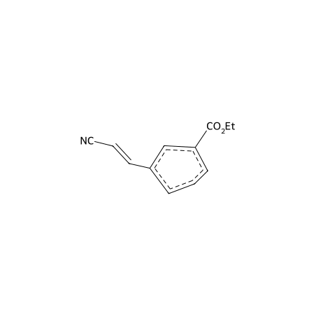 CCOC(=O)c1cccc(C=CC#N)c1